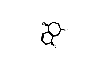 O=C1CCC(Cl)CC2=C1C=CCC2=O